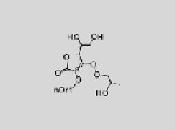 CCCCCCCCOC1=C(OOCC(C)O)[C@@H]([C@@H](O)CO)OC1=O